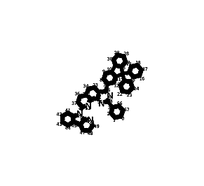 c1ccc(-c2nc(-c3ccc4c(c3)C(c3ccccc3)(c3ccccc3)c3ccccc3-4)c3ccc4ccc(-n5c6ccccc6c6cccnc65)nc4c3n2)cc1